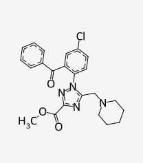 COC(=O)c1nc(CN2CCCCC2)n(-c2ccc(Cl)cc2C(=O)c2ccccc2)n1